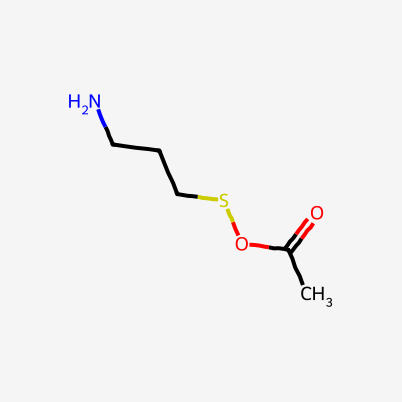 CC(=O)OSCCCN